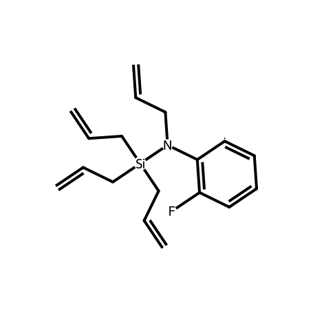 C=CCN(c1[c]cccc1F)[Si](CC=C)(CC=C)CC=C